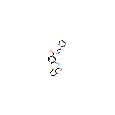 O=C(NCCc1ccccn1)c1ccc2c(c1)NC(=O)c1c(F)cccc1S2